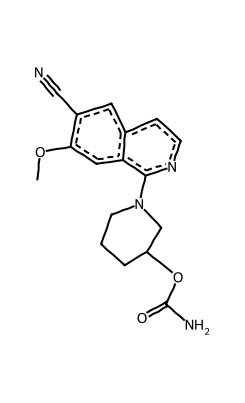 COc1cc2c(N3CCCC(OC(N)=O)C3)nccc2cc1C#N